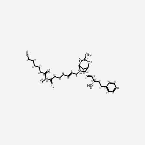 CCCCB1OC2CC(O1)[C@H](CC=CCCCC(=O)N(CC)C(=O)CCCCCBr)[C@H]2C=C[C@@H](O)CCc1ccccc1